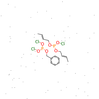 CC=CCOP(OCl)OCC=CC.ClOP(OCl)OCc1ccccc1